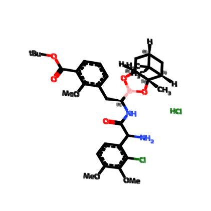 COc1ccc(C(N)C(=O)N[C@@H](Cc2cccc(C(=O)OC(C)(C)C)c2OC)B2O[C@@H]3C[C@@H]4C[C@@H](C4(C)C)[C@]3(C)O2)c(Cl)c1OC.Cl